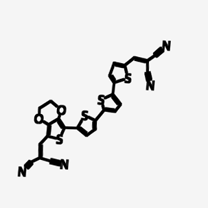 N#CC(C#N)=Cc1ccc(-c2ccc(-c3ccc(-c4sc(C=C(C#N)C#N)c5c4OCCO5)s3)s2)s1